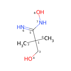 CC(C)(CO)C(=N)NO